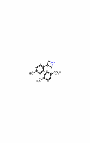 CC(C)(C)c1ccc(C2CNC2)cc1.Cc1ccc(S(=O)(=O)O)cc1